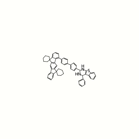 c1ccc(C2NC(c3ccc(-c4ccc(-c5cccc6c5-c5cc7c(cc5C65CCCCC5)-c5ccccc5C75CCCCC5)cc4)cc3)Nc3sc4ccccc4c32)cc1